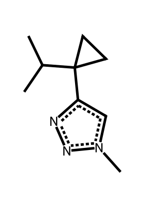 CC(C)C1(c2cn(C)nn2)CC1